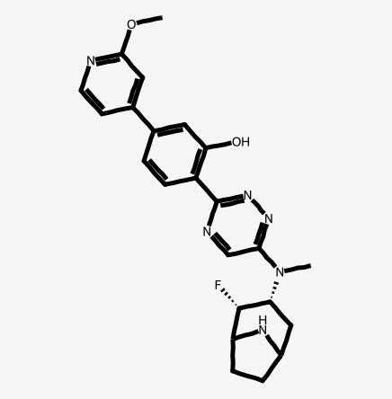 COc1cc(-c2ccc(-c3ncc(N(C)[C@@H]4CC5CCC(N5)[C@@H]4F)nn3)c(O)c2)ccn1